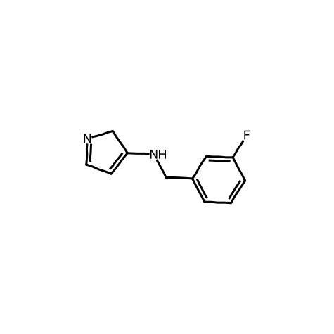 Fc1cccc(CNC2=CC=NC2)c1